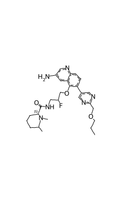 CCCOCc1ncc(-c2ccc3ncc(N)cc3c2OCC(F)CNC(=O)[C@@H]2CCCC(C)N2C)cn1